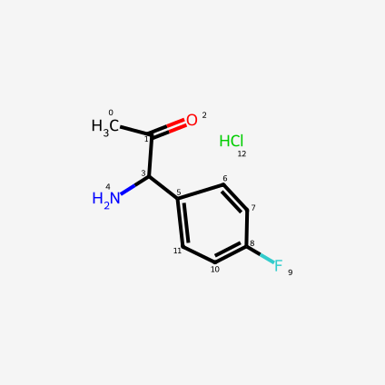 CC(=O)C(N)c1ccc(F)cc1.Cl